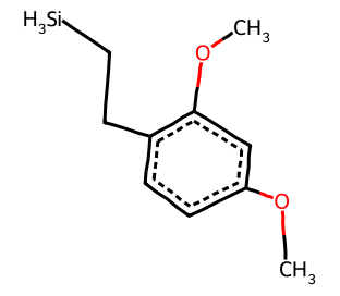 COc1ccc(CC[SiH3])c(OC)c1